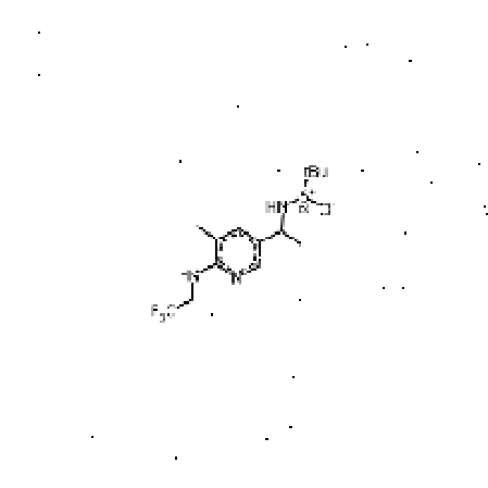 Cc1cc(C(C)N[S@+]([O-])C(C)(C)C)cnc1NCC(F)(F)F